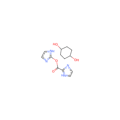 O=C(Oc1ncc[nH]1)c1ncc[nH]1.OC1CCC(O)CC1